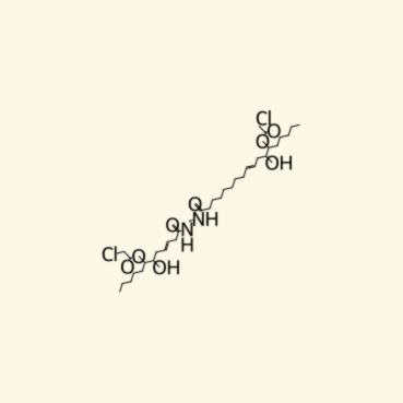 CCCCCC(OC(=O)CCl)C(O)C/C=C/CCCCCCCC(=O)NCNC(=O)C/C=C/CC(O)C(CCCCC)OC(=O)CCl